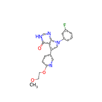 COCCOc1ccc(-c2cn(-c3cccc(F)c3)c3nc[nH]c(=O)c23)cn1